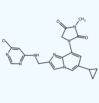 CN1C(=O)CN(c2cc(C3CC3)cn3cc(CNc4cc(Cl)ncn4)nc23)C1=O